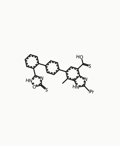 Cc1c(-c2ccc(-c3ccccc3-c3nc(=S)o[nH]3)cc2)cc(C(O)=S)c2nc(C(C)C)[nH]c12